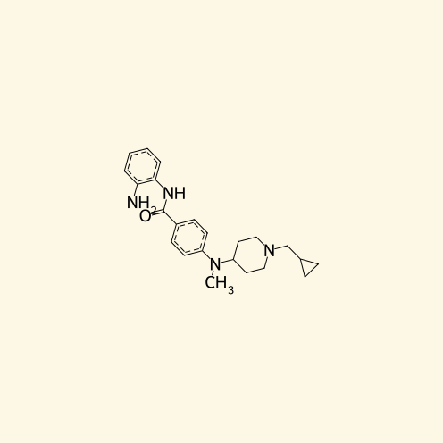 CN(c1ccc(C(=O)Nc2ccccc2N)cc1)C1CCN(CC2CC2)CC1